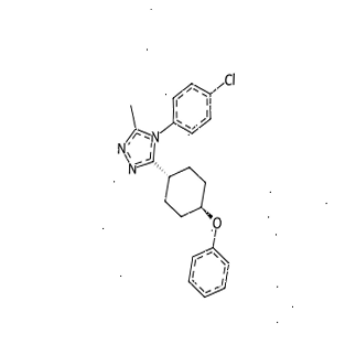 Cc1nnc([C@H]2CC[C@H](Oc3ccccc3)CC2)n1-c1ccc(Cl)cc1